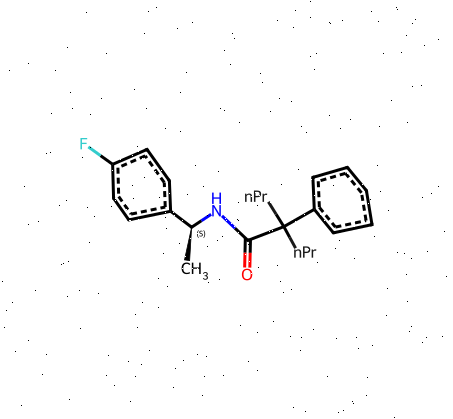 CCCC(CCC)(C(=O)N[C@@H](C)c1ccc(F)cc1)c1ccccc1